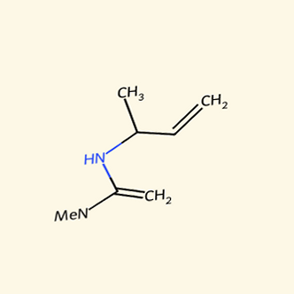 C=CC(C)NC(=C)NC